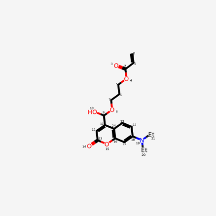 C=CC(=O)OCCCOC(O)c1cc(=O)oc2cc(N(CC)CC)ccc12